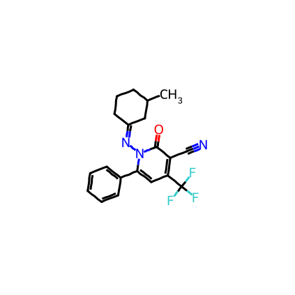 CC1CCC/C(=N/n2c(-c3ccccc3)cc(C(F)(F)F)c(C#N)c2=O)C1